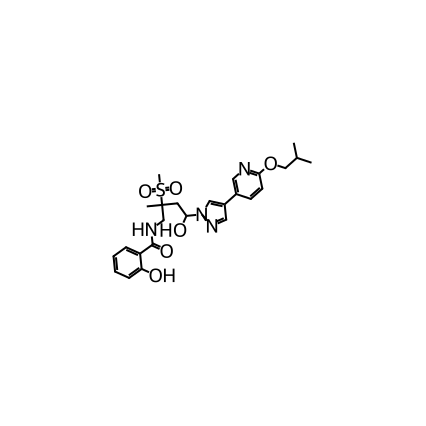 CC(C)COc1ccc(-c2cnn(C(O)CC(C)(CNC(=O)c3ccccc3O)S(C)(=O)=O)c2)cn1